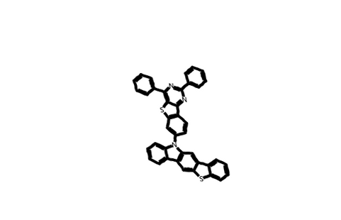 c1ccc(-c2nc(-c3ccccc3)c3sc4cc(-n5c6ccccc6c6cc7sc8ccccc8c7cc65)ccc4c3n2)cc1